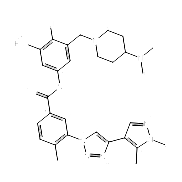 Cc1ccc(C(=O)Nc2cc(CN3CCC(N(C)C)CC3)c(Cl)c(C(F)(F)F)c2)cc1-n1cc(-c2cnn(C)c2C)nn1